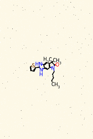 CCCCCN1C(=O)C(C)(C)c2cc3c(cc21)NC(c1cccs1)N3